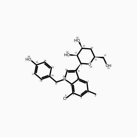 Cc1cc(Cl)c2c(c1)c([C@@H]1O[C@H](CO)C[C@H](O)[C@@H]1O)cn2Cc1ccc(O)cc1